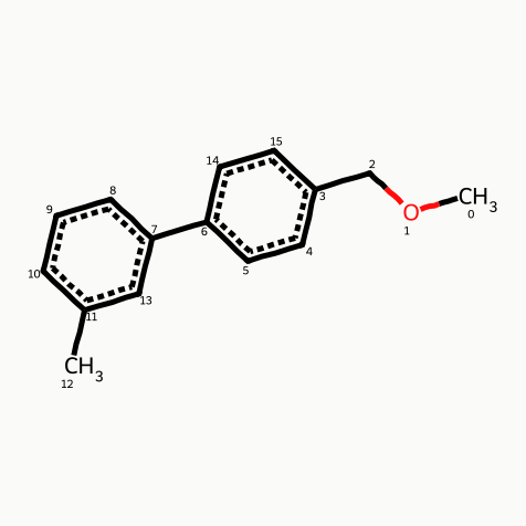 COCc1ccc(-c2cccc(C)c2)cc1